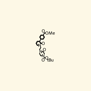 COC(=O)c1ccc(-c2cccn(CCN3CCN(C(=O)OC(C)(C)C)CC3=O)c2=O)cc1